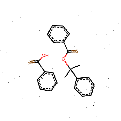 CC(C)(OC(=S)c1ccccc1)c1ccccc1.OC(=S)c1ccccc1